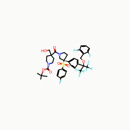 CC(C)(C)OC(=O)N1CCC(CO)(C(=O)N2CC[C@](c3ccc(C(OCc4c(F)cccc4F)(C(F)(F)F)C(F)(F)F)cc3)(S(=O)(=O)c3ccc(F)cc3)C2)CC1